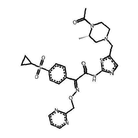 CC(=O)N1CCN(Cc2cnc(NC(=O)/C(=N/OCc3ncccn3)c3ccc(S(=O)(=O)C4CC4)cc3)s2)C[C@@H]1C